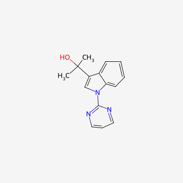 CC(C)(O)c1cn(-c2ncccn2)c2ccccc12